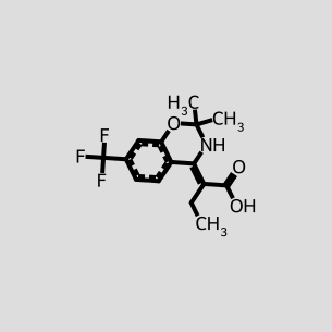 CC/C(C(=O)O)=C1/NC(C)(C)Oc2cc(C(F)(F)F)ccc21